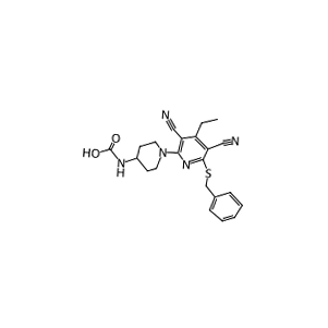 CCc1c(C#N)c(SCc2ccccc2)nc(N2CCC(NC(=O)O)CC2)c1C#N